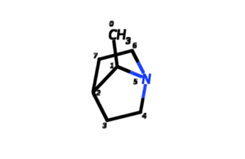 CC1C2CCN1CC2